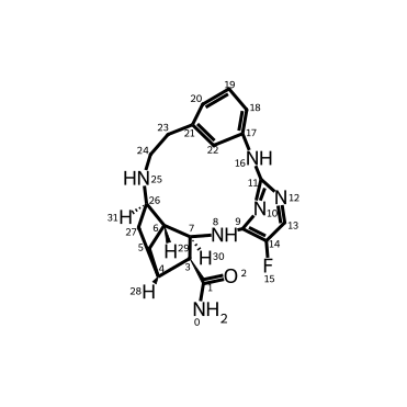 NC(=O)[C@H]1[C@H]2C[C@H]3[C@H]1Nc1nc(ncc1F)Nc1cccc(c1)CCN[C@@H]3C2